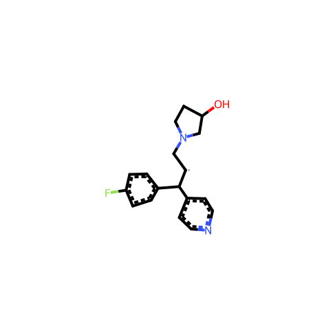 OC1CCN(C[CH]C(c2ccncc2)c2ccc(F)cc2)C1